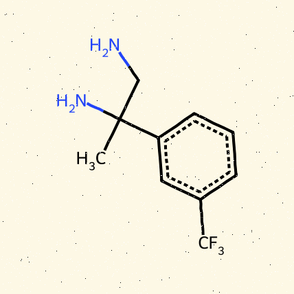 CC(N)(CN)c1cccc(C(F)(F)F)c1